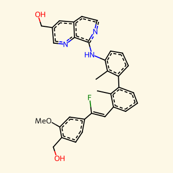 COc1cc(C(F)=Cc2cccc(-c3cccc(Nc4nccc5cc(CO)cnc45)c3C)c2C)ccc1CO